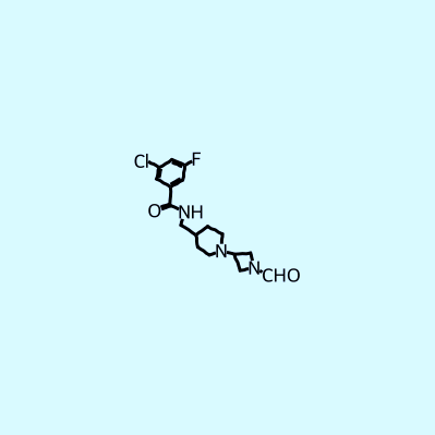 O=CN1CC(N2CCC(CNC(=O)c3cc(F)cc(Cl)c3)CC2)C1